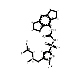 CC(C)n1nc(S(=O)(=O)NC(=O)Nc2c3c(cc4c2CCC4)CCC3)cc1CN(C)CC(F)F